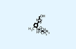 Cc1ccc(-c2nc(CO)ns2)cc1NC(=O)OC(C)(C)C